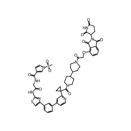 CS(=O)(=O)n1ccc(C(=O)NCC(=O)Nc2nc(-c3cccc(-c4ccnc(C5(C(=O)N6CCC(C7CCN(C(=O)COc8cccc9c8C(=O)N(C8CCC(=O)NC8=O)C9=O)CC7)CC6)CC5)c4)c3)cs2)c1